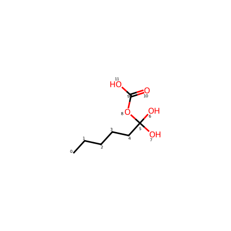 CCCCCC(O)(O)OC(=O)O